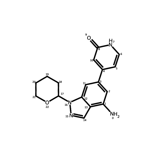 Nc1cc(-c2cc[nH]c(=O)c2)cc2c1cnn2C1CCCCO1